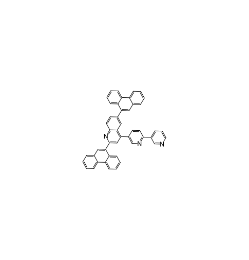 c1cncc(-c2ccc(-c3cc(-c4cc5ccccc5c5ccccc45)nc4ccc(-c5cc6ccccc6c6ccccc56)cc34)cn2)c1